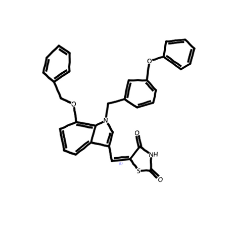 O=C1NC(=O)/C(=C\c2cn(Cc3cccc(Oc4ccccc4)c3)c3c(OCc4ccccc4)cccc23)S1